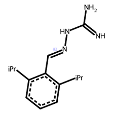 CC(C)c1cccc(C(C)C)c1/C=N/NC(=N)N